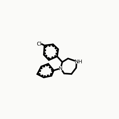 Clc1ccc(C2CNCCCN2c2ccccc2)cc1